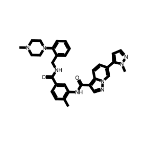 Cc1ccc(C(=O)NCc2ccccc2N2CCN(C)CC2)cc1NC(=O)c1cnn2cc(-c3ccnn3C)ccc12